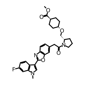 COC(=O)[C@H]1CC[C@H](OC[C@@H]2CCCN2C(=O)Cc2ccc3nc(-c4cn(C)c5cc(F)ccc45)oc3c2)CC1